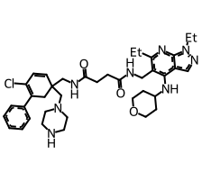 CCc1nc2c(cnn2CC)c(NC2CCOCC2)c1CNC(=O)CCC(=O)NCC1(CN2CCNCC2)C=CC(Cl)=C(c2ccccc2)C1